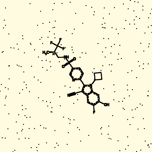 C[C@H](CNS(=O)(=O)c1ccc(-c2c(C#N)c3cc(F)c(O)cc3n2C2CCC2)nc1)C(F)(F)F